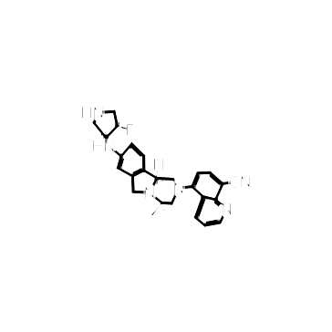 C[C@@H]1CN(c2ccc(C#N)c3ncccc23)C[C@@H]2c3ccc(N[C@@H]4CNC[C@H]4F)cc3CN12